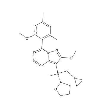 COc1cc(C)cc(C)c1-c1cccc2c([N+](C)(CC3CC3)C3CCCO3)c(OC)nn12